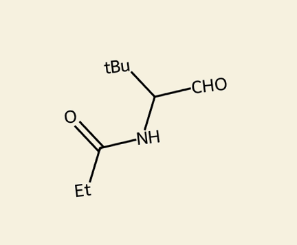 CCC(=O)NC(C=O)C(C)(C)C